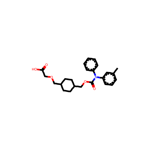 Cc1cccc(N(C(=O)OCC2CCC(COCC(=O)O)CC2)c2ccccc2)c1